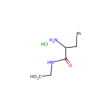 CC(C)CC(N)C(=O)NCC(=O)O.Cl